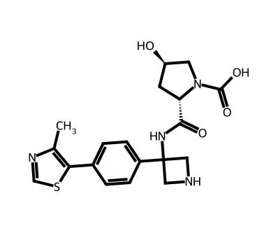 Cc1ncsc1-c1ccc(C2(NC(=O)[C@@H]3C[C@@H](O)CN3C(=O)O)CNC2)cc1